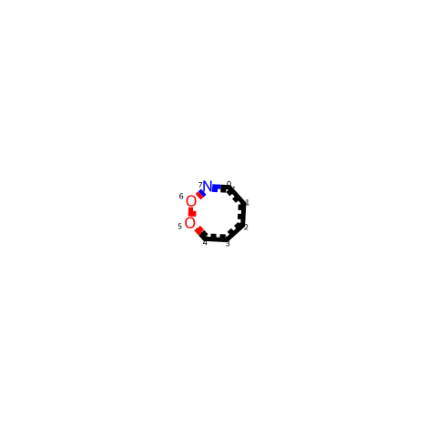 [c]1ccccoon1